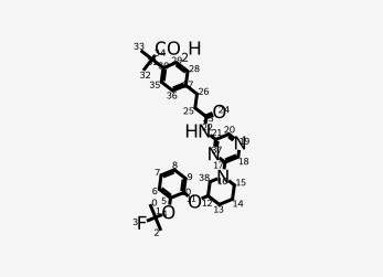 CC(C)(F)Oc1ccccc1OC1CCCN(c2cncc(NC(=O)CCc3ccc(C(C)(C)C(=O)O)cc3)n2)C1